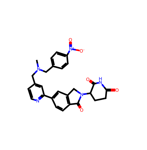 CN(Cc1ccc([N+](=O)[O-])cc1)Cc1ccnc(-c2ccc3c(c2)CN(C2CCC(=O)NC2=O)C3=O)c1